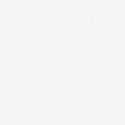 NC(CCNC(=O)/C=C/c1cccc(Cl)c1F)C(=O)O